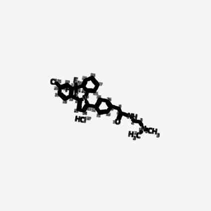 CN(C)CCNC(=O)Cc1ccc(-c2ccc(-c3ccc(Cl)cc3)n2-c2ccccc2C(F)(F)F)cc1.Cl